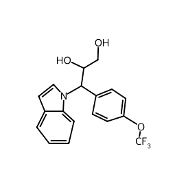 OCC(O)C(c1ccc(OC(F)(F)F)cc1)n1ccc2ccccc21